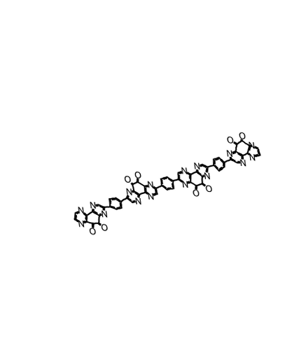 O=C1C(=O)c2nc(-c3ccc(-c4cnc5c(n4)C(=O)C(=O)c4nc(-c6ccc(-c7cnc8c(n7)C(=O)C(=O)c7nc(-c9ccc(-c%10cnc%11c(n%10)C(=O)C(=O)c%10nccnc%10-%11)cc9)cnc7-8)cc6)cnc4-5)cc3)cnc2-c2nccnc21